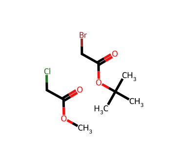 CC(C)(C)OC(=O)CBr.COC(=O)CCl